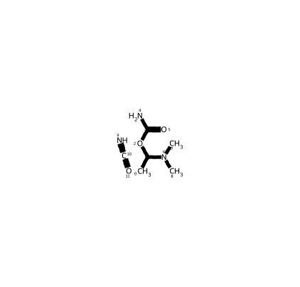 CC(OC(N)=O)N(C)C.N=C=O